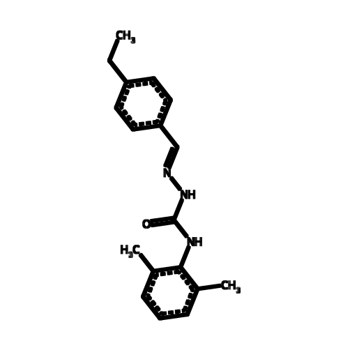 CCc1ccc(/C=N/NC(=O)Nc2c(C)cccc2C)cc1